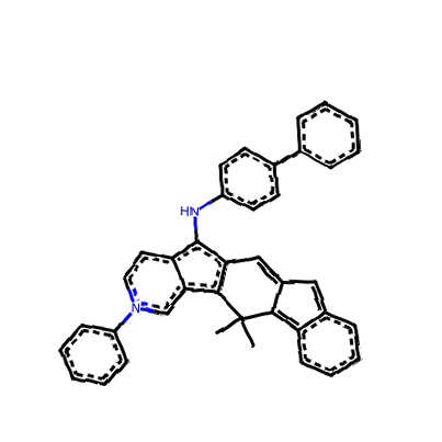 CC1(C)C2=c3ccccc3=CC2=Cc2c(Nc3ccc(-c4ccccc4)cc3)c3ccn(-c4ccccc4)cc-3c21